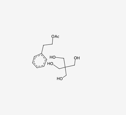 CC(=O)OCCc1ccccc1.OCC(CO)(CO)CO